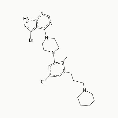 Cc1c(CCCN2CCCCC2)cc(Cl)cc1N1CCN(c2ncnc3[nH]nc(Br)c23)CC1